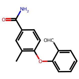 Cc1cc(C(N)=O)ccc1Oc1ccccc1C=O